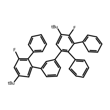 CC(C)(C)c1cc(F)c(-c2ccccc2)c(-c2cccc(-c3cc(C(C)(C)C)c(F)c(-c4ccccc4)c3-c3ccccc3)c2)c1